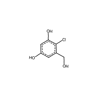 OCc1cc(O)cc(O)c1Cl